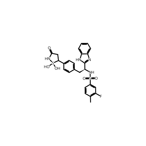 Cc1ccc(S(=O)(=O)N[C@@H](Cc2ccc(C3CC(=O)NS3(O)O)cc2)c2nc3ccccc3[nH]2)cc1F